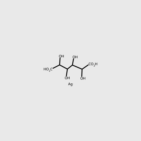 O=C(O)C(O)C(O)C(O)C(O)C(=O)O.[Ag]